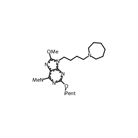 CCC[C@H](C)Oc1nc(NC)c2nc(OC)n(CCCCN3CCCCCC3)c2n1